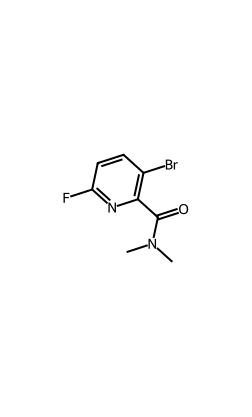 CN(C)C(=O)c1nc(F)ccc1Br